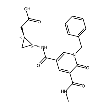 CNC(=O)c1cc(C(=O)N[C@@H]2C[C@H]2CC(=O)O)cn(Cc2ccccc2)c1=O